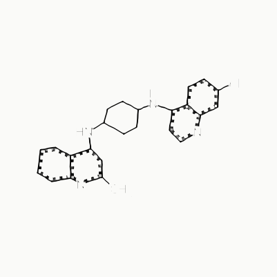 Cc1cc(NC2CCC(Nc3ccnc4cc(Cl)ccc34)CC2)c2ccccc2n1